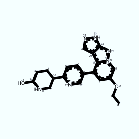 CCOc1cc(-c2ccc(C3CCC(O)NC3)nc2)c2c3cn[nH]c3nn2c1